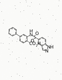 O=C(O)c1ccc(-c2ccccc2)cc1NS(=O)(=O)c1ccc2[nH]ncc2c1